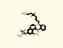 CCCC(F)(F)CCCOc1ncccc1Nc1ncnc2cc(N=S(C)(C)=O)cc(C)c12